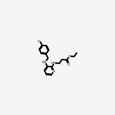 CCOC(=O)CCNc1ncccc1NCc1ccc(Cl)cc1